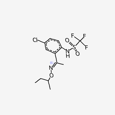 CCC(C)O/N=C(\C)c1cc(Cl)ccc1NS(=O)(=O)C(F)(F)F